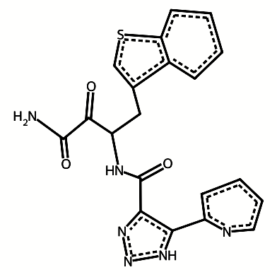 NC(=O)C(=O)C(Cc1csc2ccccc12)NC(=O)c1nn[nH]c1-c1ccccn1